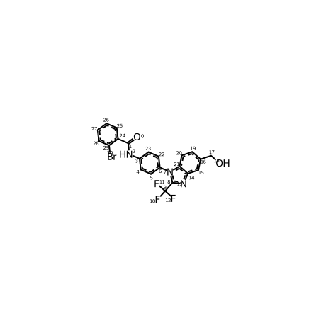 O=C(Nc1ccc(-n2c(C(F)(F)F)nc3cc(CO)ccc32)cc1)c1ccccc1Br